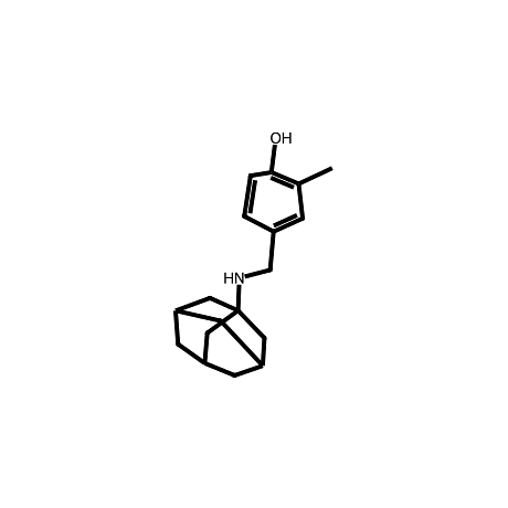 Cc1cc(CNC23CC4CC(CC(C4)C2)C3)ccc1O